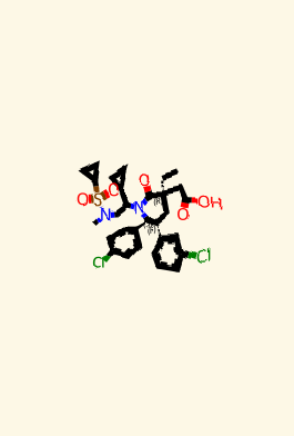 CC[C@]1(CC(=O)O)C[C@H](c2cccc(Cl)c2)[C@@H](c2ccc(Cl)cc2)N(C(CN(C)S(=O)(=O)C2CC2)C2CC2)C1=O